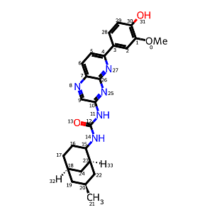 COc1cc(-c2ccc3ncc(NC(=O)NC4CC[C@@H]5C[C@H](C)C[C@H]4C5)nc3n2)ccc1O